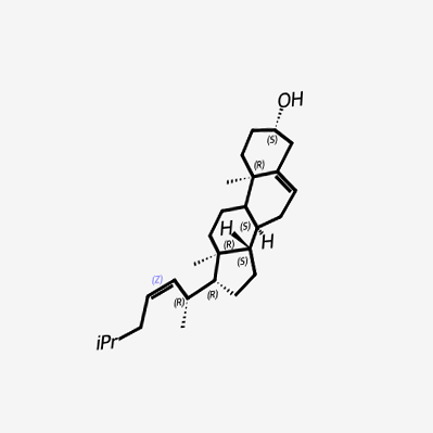 CC(C)C/C=C\[C@@H](C)[C@H]1CC[C@H]2[C@@H]3CC=C4C[C@@H](O)CC[C@]4(C)C3CC[C@]12C